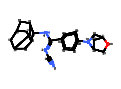 N#CN=C(NC1C2CC3CC(C2)CC1C3)c1ccc(N2CC3CC2CO3)cc1